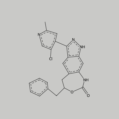 Cc1cc(-c2n[nH]c3cc4c(cc23)CC(Cc2ccccc2)OC(=O)N4)c(Cl)cn1